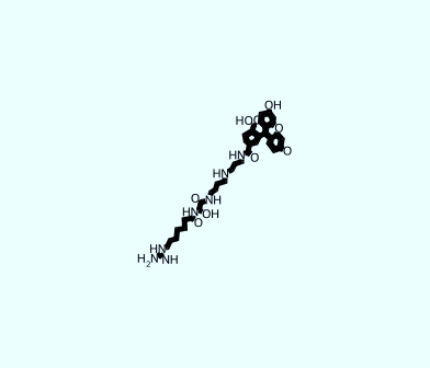 N=C(N)NCCCCCCC(=O)NC(O)C(=O)NCCCCNCCCNC(=O)c1ccc(C(=O)O)c(-c2c3ccc(=O)cc-3oc3cc(O)ccc23)c1